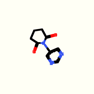 O=C1CCCC(=O)N1c1cncnc1